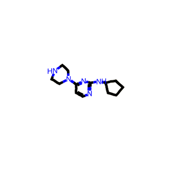 c1cc(N2CCNCC2)nc(NC2CCCC2)n1